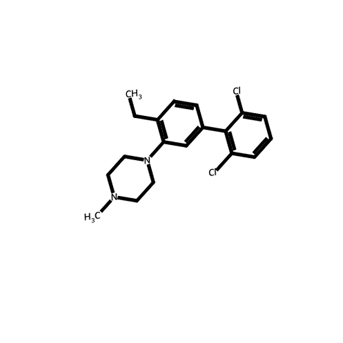 CCc1[c]cc(-c2c(Cl)cccc2Cl)cc1N1CCN(C)CC1